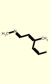 C/N=C/C=C(C)\C=C/I